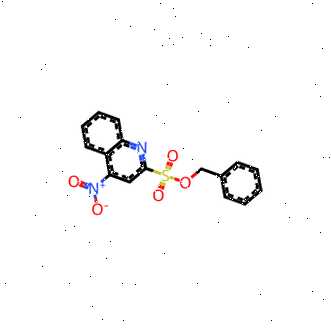 O=[N+]([O-])c1cc(S(=O)(=O)OCc2ccccc2)nc2ccccc12